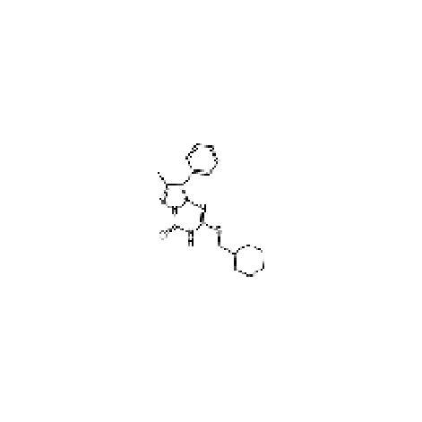 Cc1nn2c(=O)[nH]c(SCC3CCCCC3)nc2c1-c1ccccc1